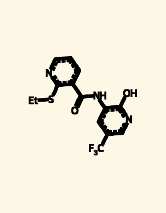 CCSc1ncccc1C(=O)Nc1cc(C(F)(F)F)cnc1O